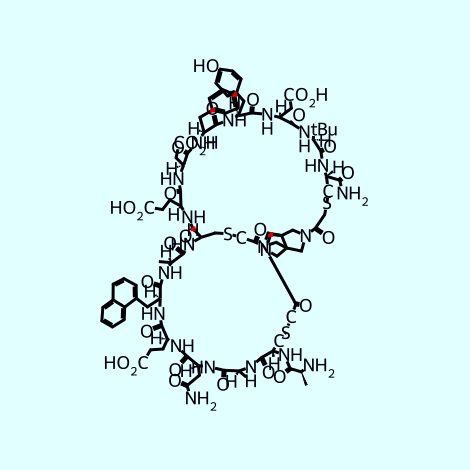 C[C@H](N)C(=O)N[C@H]1CSCC(=O)N2CC34CN5CC3(C2)CN(C4)C(=O)CSC[C@@H](NC(=O)[C@@H](C)NC(=O)[C@H](Cc2cccc3ccccc23)NC(=O)[C@H](CCC(=O)O)NC(=O)[C@H](CC(N)=O)NC(=O)[C@@H](C)NC1=O)C(=O)N[C@@H](CCC(=O)O)C(=O)N[C@@H](CC(=O)O)C(=O)N[C@@H](Cc1ccccc1)C(=O)N[C@@H](Cc1ccc(O)cc1)C(=O)N[C@@H](CC(=O)O)C(=O)N[C@@H](C(C)(C)C)C(=O)N[C@H](C(N)=O)CSCC5=O